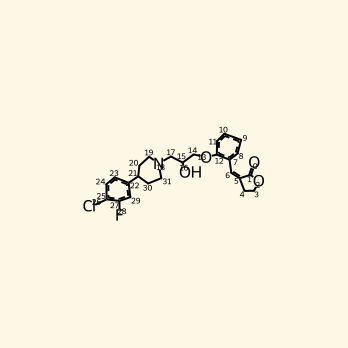 O=C1OCCC1=Cc1ccccc1OCC(O)CN1CCC(c2ccc(Cl)c(F)c2)CC1